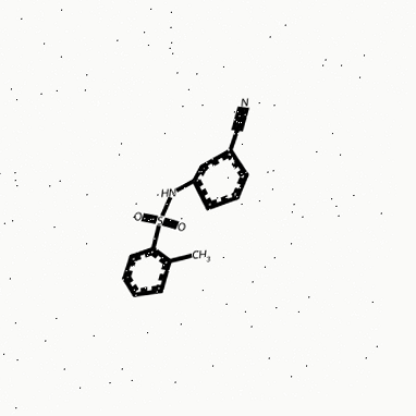 Cc1ccccc1S(=O)(=O)Nc1cccc(C#N)c1